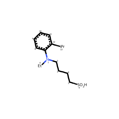 CCN(CCCCS(=O)(=O)O)c1ccccc1C(C)C